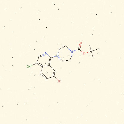 CC(C)(C)OC(=O)N1CCN(c2ncc(Cl)c3ccc(Br)cc23)CC1